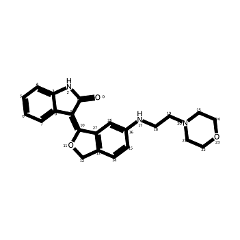 O=C1Nc2ccccc2C1=C1OCc2ccc(NCCN3CCOCC3)cc21